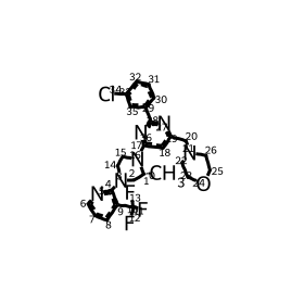 C[C@@H]1CN(c2ncccc2C(F)(F)F)CCN1c1cc(CN2CCOCC2)nc(-c2cccc(Cl)c2)n1